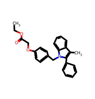 CCOC(=O)COc1ccc(Cn2c(-c3ccccc3)c(C)c3ccccc32)cc1